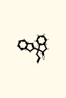 C=CCC1(C2=Cc3ccccc3C2)C(=O)Cc2ccccc21